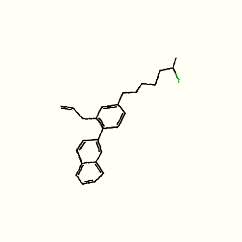 C=CCc1cc(CCCCCC(C)F)ccc1-c1ccc2ccccc2c1